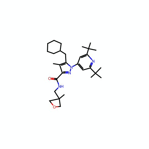 Cc1c(C(=O)NCC2(C)COC2)nn(-c2cc(C(C)(C)C)nc(C(C)(C)C)c2)c1CC1CCCCC1